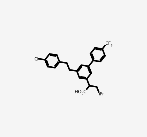 CC(C)CC(C(=O)O)c1cc(CCc2ccc(Cl)cc2)cc(-c2ccc(C(F)(F)F)cc2)c1